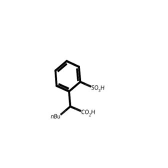 CCCCC(C(=O)O)c1ccccc1S(=O)(=O)O